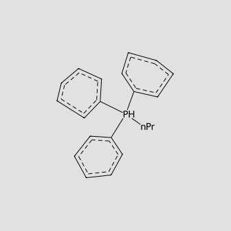 [CH2]CC[PH](c1ccccc1)(c1ccccc1)c1ccccc1